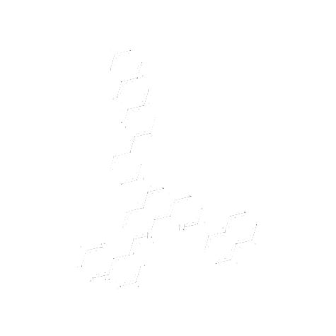 c1cc(-c2ccc3cc4ccccc4cc3n2)cc(-c2cc3ccc(-c4cccc5ccccc45)nc3c3nc(-c4cccc5ccccc45)ccc23)c1